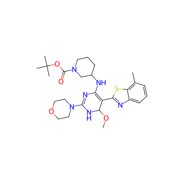 COC1NC(N2CCOCC2)=NC(NC2CCCN(C(=O)OC(C)(C)C)C2)=C1c1nc2cccc(C)c2s1